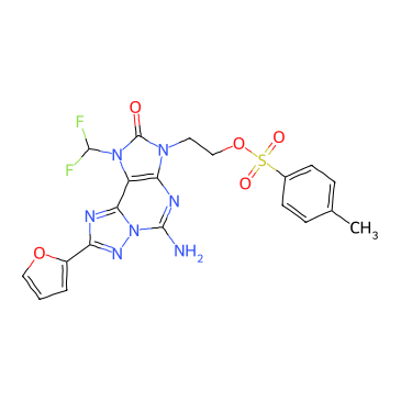 Cc1ccc(S(=O)(=O)OCCn2c(=O)n(C(F)F)c3c2nc(N)n2nc(-c4ccco4)nc32)cc1